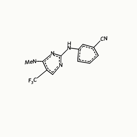 CNc1nc(Nc2cccc(C#N)c2)ncc1C(F)(F)F